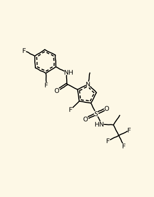 CC(NS(=O)(=O)c1cn(C)c(C(=O)Nc2ccc(F)cc2F)c1F)C(F)(F)F